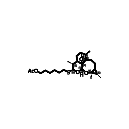 CC(=O)OCCCCCCS[C@@H]1O[C@@H]2O[C@@]3(C)C(CC[C@H]4[C@H](C)CCC([C@H]1C)[C@@]24O)[C@@H]3C